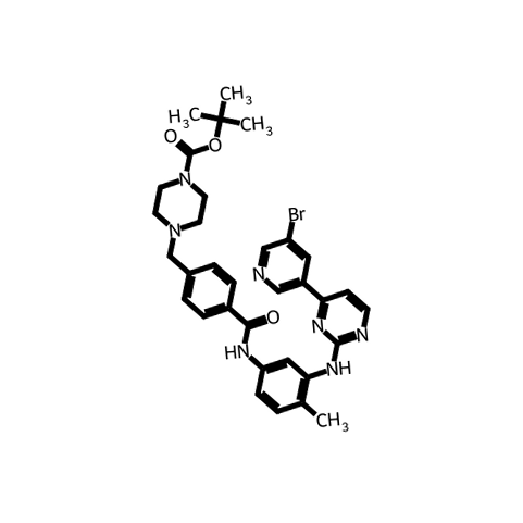 Cc1ccc(NC(=O)c2ccc(CN3CCN(C(=O)OC(C)(C)C)CC3)cc2)cc1Nc1nccc(-c2cncc(Br)c2)n1